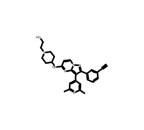 C#Cc1cccc(-c2nn3ccc(NC4CCN(CCO)CC4)nc3c2-c2cc(C)nc(C)c2)c1